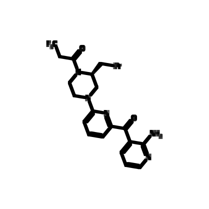 CC(C)C[C@H]1CN(c2cccc(C(=O)c3cccnc3N)n2)CCN1C(=O)CC(F)(F)F